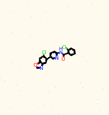 O=C(Nc1ccc(-c2cc3ncoc3cc2Cl)cn1)c1ccccc1Cl